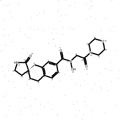 O=C(c1ccc2c(c1)C[C@@]1(CCNC1=O)CC2)N(O)CC(=O)N1CCOCC1